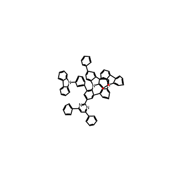 c1ccc(-c2ccc3c(c2)c2ccccc2n3-c2c(-c3cccc(-n4c5ccccc5c5ccccc54)c3)cc(-c3nc(-c4ccccc4)cc(-c4ccccc4)n3)cc2-c2cccc(-n3c4ccccc4c4ccccc43)c2)cc1